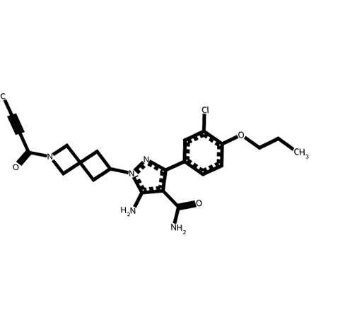 CC#CC(=O)N1CC2(CC(n3nc(-c4ccc(OCCC)c(Cl)c4)c(C(N)=O)c3N)C2)C1